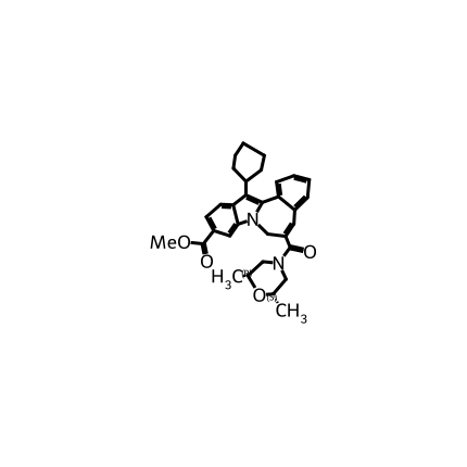 COC(=O)c1ccc2c(C3CCCCC3)c3n(c2c1)CC(C(=O)N1C[C@@H](C)O[C@@H](C)C1)=Cc1ccccc1-3